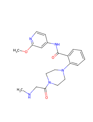 CNCC(=O)N1CCN(c2ccccc2C(=O)Nc2ccnc(OC)c2)CC1